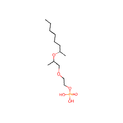 CCCCCCC(C)OC(C)COCCOP(=O)(O)O